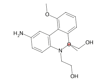 COc1cccc(OC)c1-c1cc(N)ccc1N(CCO)CCO